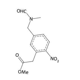 COC(=O)Cc1cc(CN(C)C=O)ccc1[N+](=O)[O-]